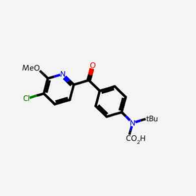 COc1nc(C(=O)c2ccc(N(C(=O)O)C(C)(C)C)cc2)ccc1Cl